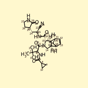 CC(C)(C)[C@H](NC(=O)C1CC1)C(=O)N1C[C@H]2[C@@H]([C@H]1C(=O)N[C@H](C#N)C[C@@H]1CCNC1=O)[C@H]1C=C[C@@H]2C1